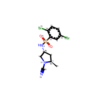 [CH2][C@@H]1C[C@@H](NS(=O)(=O)c2cc(Br)ccc2Br)CN1C#N